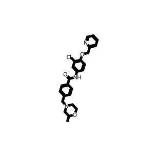 CC1CN(Cc2ccc(C(=O)Nc3ccc(OCc4ccccn4)c(Cl)c3)cc2)CCO1